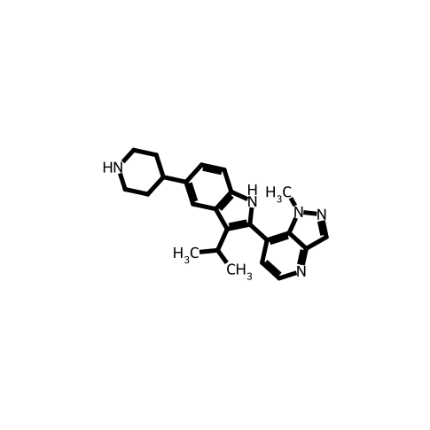 CC(C)c1c(-c2ccnc3cnn(C)c23)[nH]c2ccc(C3CCNCC3)cc12